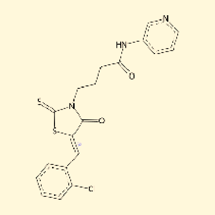 O=C(CCCN1C(=O)/C(=C/c2ccccc2Cl)SC1=S)Nc1cccnc1